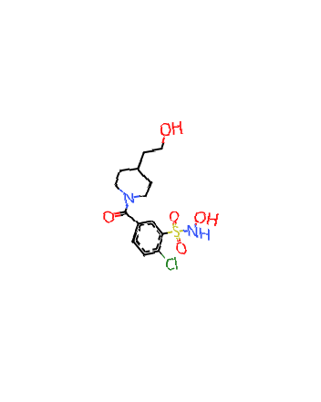 O=C(c1ccc(Cl)c(S(=O)(=O)NO)c1)N1CCC(CCO)CC1